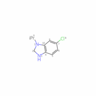 CC(C)N1[CH]Nc2ccc(Cl)cc21